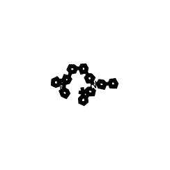 CC1(C)c2ccccc2-c2ccc(N(c3ccc(-c4ccccc4)cc3)c3ccc(-c4cccc(-c5cccc(-c6ccc7c(c6)c6ccccc6n7-c6ccccc6)c5)c4)cc3)cc21